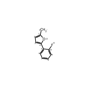 [CH2]c1ccc(-c2ccccc2F)o1